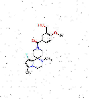 CC(C)Oc1ccc(C(=O)N2CCC3(CC2)c2c(F)cc(C(F)(F)F)n2CCN3C)cc1CO